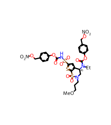 CCN(C(=O)Oc1ccc(CO[N+](=O)[O-])cc1)[C@H]1CN(CCCOC)S(=O)(=O)c2sc(S(=O)(=O)NC(=O)Oc3ccc(CO[N+](=O)[O-])cc3)cc21